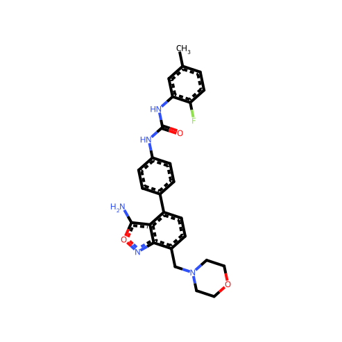 Cc1ccc(F)c(NC(=O)Nc2ccc(-c3ccc(CN4CCOCC4)c4noc(N)c34)cc2)c1